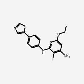 CCOc1cc(N)c(F)c(Nc2ccc(-c3cnco3)cc2)n1